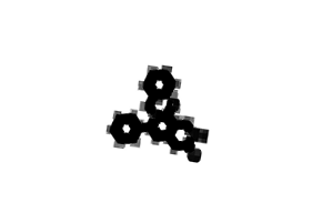 O=C1Cc2cc(-c3ccccc3)n(Cc3ccccc3)c(=O)c2CN1